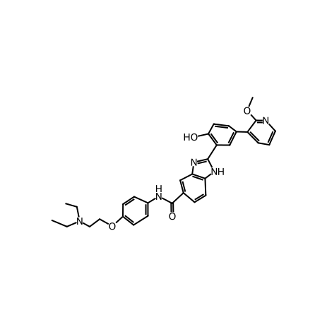 CCN(CC)CCOc1ccc(NC(=O)c2ccc3[nH]c(-c4cc(-c5cccnc5OC)ccc4O)nc3c2)cc1